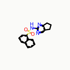 O=S(=O)(Nc1ncc2c(n1)CCC2)c1cccc2ccccc12